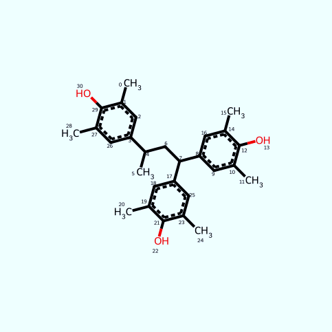 Cc1cc(C(C)CC(c2cc(C)c(O)c(C)c2)c2cc(C)c(O)c(C)c2)cc(C)c1O